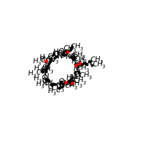 C/C=C/C[C@@H](C)[C@@H](O)[C@@H]1C(=O)N[C@H](CC)C(=O)N(C)[C@H](CS(=O)(=O)CCCN(CC)CC)C(=O)N(C)[C@@H](CC(C)C)C(=O)N[C@H](C(C)C)C(=O)N(C)[C@@H]2CC(C)N(C2=O)[C@H](C)C(=O)N[C@@H](C)C(=O)N(C)[C@H](CC(C)C)C(=O)N(C)[C@H](CC(C)C)C(=O)N(C)[C@H](C(C)C)C(=O)N1C